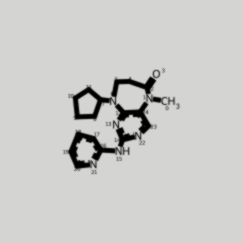 CN1C(=O)CCN(C2CCCC2)c2nc(Nc3ccccn3)ncc21